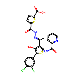 CC(=NNC(=O)c1ccc(C(=O)O)s1)c1csc(-c2ccc(Cl)c(Cl)c2)c1O.NC(=O)c1ccccn1